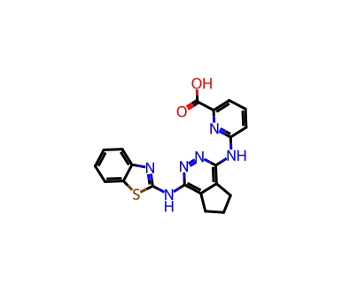 O=C(O)c1cccc(Nc2nnc(Nc3nc4ccccc4s3)c3c2CCC3)n1